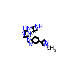 C[C@@H]1CNC[C@@H]1Nc1cncc(-n2cnc3cc(-c4cnn(C)c4)ccc32)n1